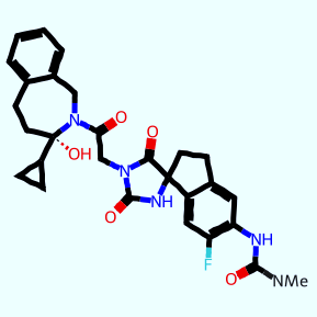 CNC(=O)Nc1cc2c(cc1F)C1(CC2)NC(=O)N(CC(=O)N2Cc3ccccc3CC[C@]2(O)C2CC2)C1=O